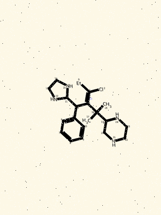 CC/C(Cl)=C(\C(c1ccccc1)C1NCCN1)C(C)(C)C1CNCCN1